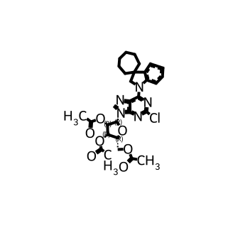 CC(=O)OC[C@H]1O[C@@H](n2cnc3c(N4CC5(CCCCCC5)c5ccccc54)nc(Cl)nc32)[C@H](OC(C)=O)[C@@H]1OC(C)=O